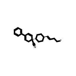 N#CC1([C@H]2CC[C@H](C=CCCF)CC2)C=CC(c2ccccc2)=CC1